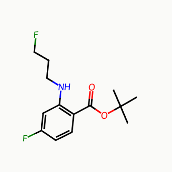 CC(C)(C)OC(=O)c1ccc(F)cc1NCCCF